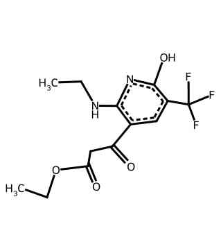 CCNc1nc(O)c(C(F)(F)F)cc1C(=O)CC(=O)OCC